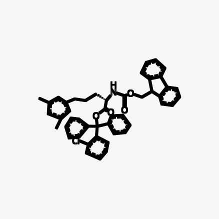 Cc1cc(C)cc(CCC[C@H](NC(=O)OCC2c3ccccc3-c3ccccc32)C(=O)OC(c2ccccc2)(c2ccccc2)c2ccccc2Cl)c1